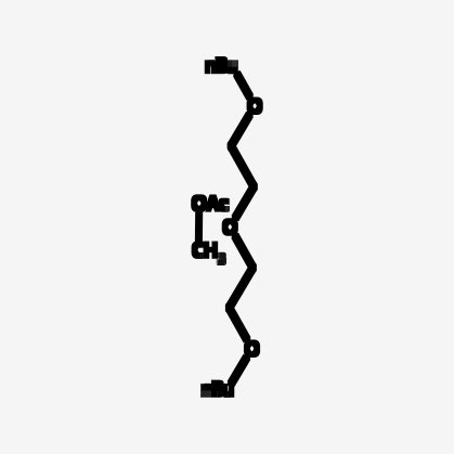 CCCCOCCOCCOCCCC.COC(C)=O